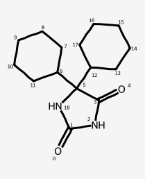 O=C1NC(=O)C(C2CCCCC2)(C2CCCCC2)N1